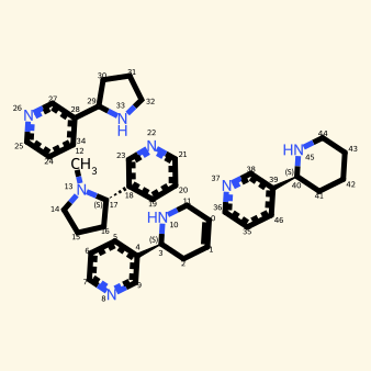 C1=CC[C@@H](c2cccnc2)NC1.CN1CCC[C@H]1c1cccnc1.c1cncc(C2CCCN2)c1.c1cncc([C@@H]2CCCCN2)c1